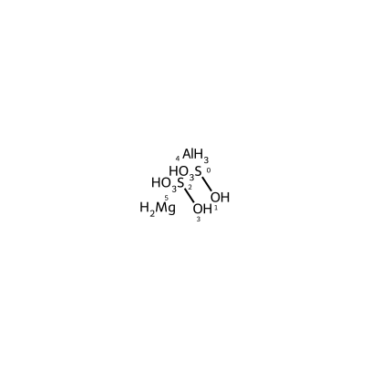 O=S(=O)(O)O.O=S(=O)(O)O.[AlH3].[MgH2]